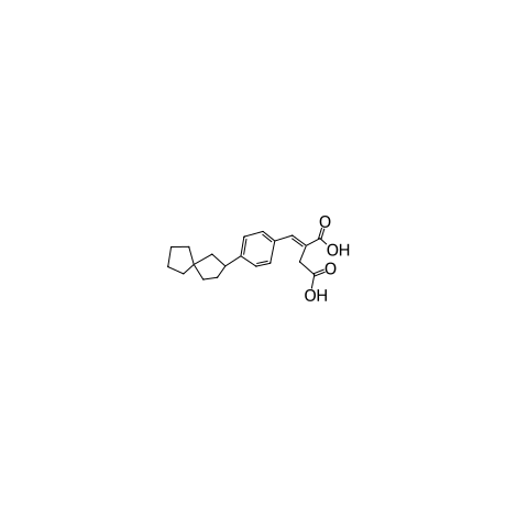 O=C(O)C/C(=C\c1ccc(C2CCC3(CCCC3)C2)cc1)C(=O)O